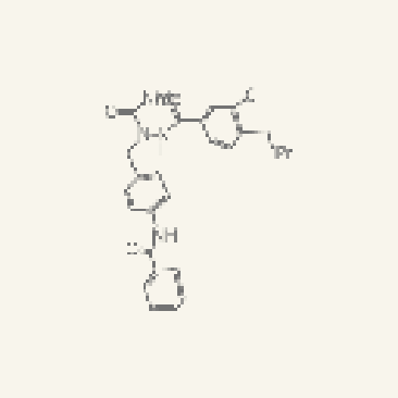 CNC(=O)N(Cc1ccc(NC(=O)c2ccccc2)cc1)NC(=O)c1ccc(CC(C)C)c(Cl)c1